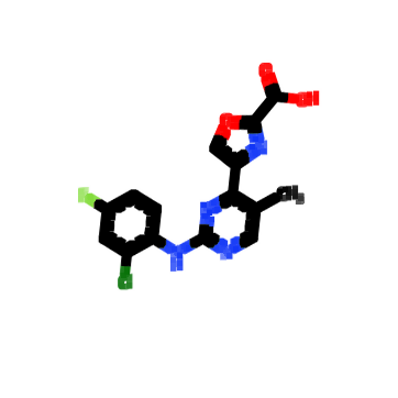 Cc1cnc(Nc2ccc(F)cc2Cl)nc1-c1coc(C(=O)O)n1